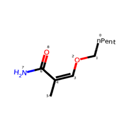 CCCCCCOC=C(C)C(N)=O